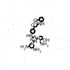 NC[C@@H]1[C@H](O)CCN1c1nc(Nc2ccc(C(=O)CC(=O)Nc3ccccc3Cl)cc2)nc(N2C[C@H](N)C[C@H](N)C2)n1